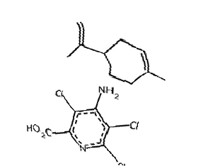 C=C(C)C1CC=C(C)CC1.Nc1c(Cl)c(Cl)nc(C(=O)O)c1Cl